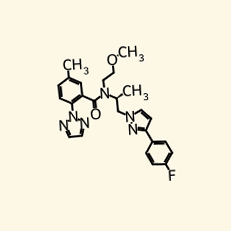 COCCN(C(=O)c1cc(C)ccc1-n1nccn1)[C@@H](C)Cn1ccc(-c2ccc(F)cc2)n1